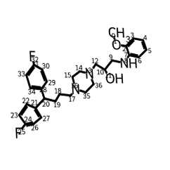 COc1ccccc1NCC(O)CN1CCN(CCCC(c2ccc(F)cc2)c2ccc(F)cc2)CC1